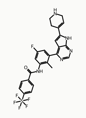 Cc1c(NC(=O)c2ccc(S(F)(F)(F)(F)F)cc2)cc(F)cc1-c1ncnc2[nH]c(C3=CCNCC3)cc12